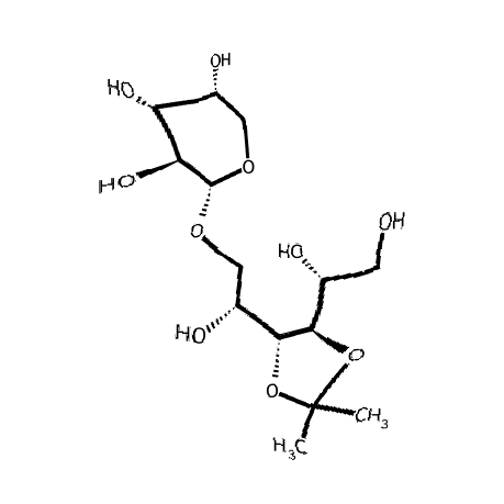 CC1(C)O[C@H]([C@H](O)CO)[C@@H]([C@H](O)CO[C@H]2OC[C@@H](O)[C@@H](O)[C@@H]2O)O1